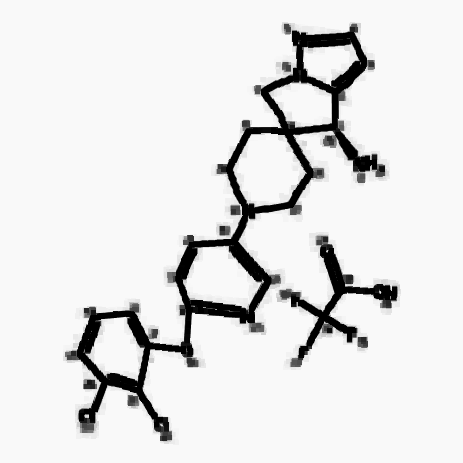 N[C@@H]1c2ccnn2CC12CCN(c1ccc(Oc3cccc(Cl)c3Cl)nc1)CC2.O=C(O)C(F)(F)F